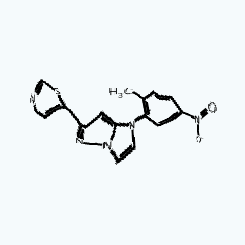 Cc1ccc([N+](=O)[O-])cc1-n1ccn2nc(-c3cncs3)cc12